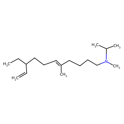 C=CC(CC)CC/C=C(\C)CCCCN(C)C(C)C